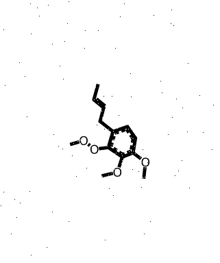 CC=CCc1ccc(OC)c(OC)c1OOC